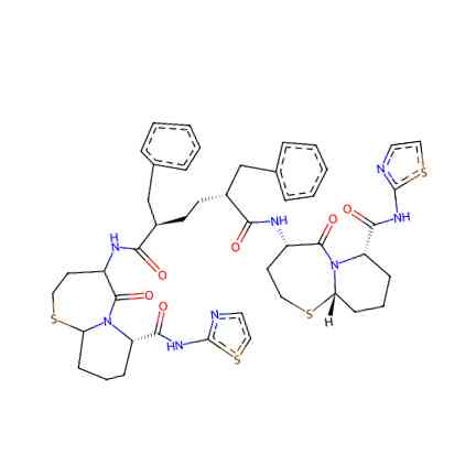 O=C(NC1CCSC2CCC[C@@H](C(=O)Nc3nccs3)N2C1=O)[C@H](CC[C@H](Cc1ccccc1)C(=O)N[C@H]1CCS[C@H]2CCC[C@@H](C(=O)Nc3nccs3)N2C1=O)Cc1ccccc1